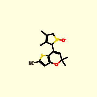 CC1=C(C)C(C2=CC(C)(C)Oc3cc(C#N)sc32)[S+]([O-])C1